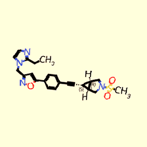 CCc1nccn1Cc1cc(-c2ccc(C#C[C@@H]3[C@H]4CN(S(C)(=O)=O)C[C@@H]34)cc2)on1